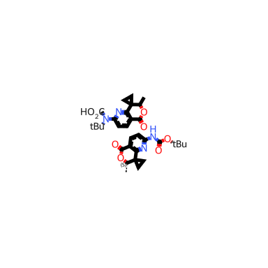 CC1OC(=O)c2ccc(N(C(=O)O)C(C)(C)C)nc2C12CC2.C[C@@H]1OC(=O)c2ccc(NC(=O)OC(C)(C)C)nc2C12CC2